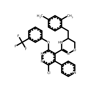 Cc1ccc(CC2CON=C(c3c(Oc4cccc(C(F)(F)F)c4)nnc(Cl)c3-c3ccncc3)N2)c(C)c1